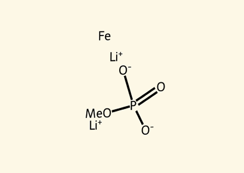 COP(=O)([O-])[O-].[Fe].[Li+].[Li+]